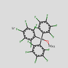 CCCCCCCC[O][Al-]([c]1c(F)c(F)c(F)c(F)c1F)([c]1c(F)c(F)c(F)c(F)c1F)[c]1c(F)c(F)c(F)c(F)c1F.[Li+]